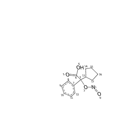 O=NOC(C(=O)O)(c1ccccc1)C1CCCC1